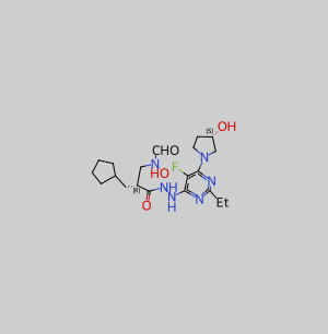 CCc1nc(NNC(=O)[C@H](CC2CCCC2)CN(O)C=O)c(F)c(N2CC[C@H](O)C2)n1